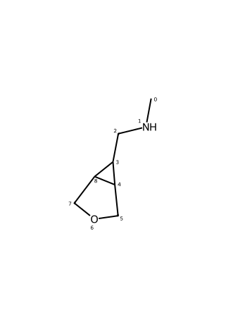 CNCC1C2COCC12